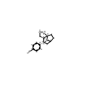 CN1C2CC[C@H]1[C@H](CO)[C@@H](c1ccc(F)cc1)C2